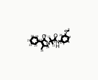 CSc1cccc(NC(=O)C(C)(C)N2CC(C)=C(c3ccccc3)C2=O)c1